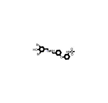 CS(=O)(=O)Nc1cccc(Oc2cccc(CN/N=C/c3cc(Br)c(O)c(Br)c3)c2)c1